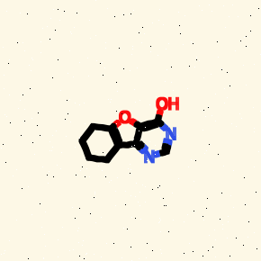 Oc1ncnc2c3c(oc12)CCCC3